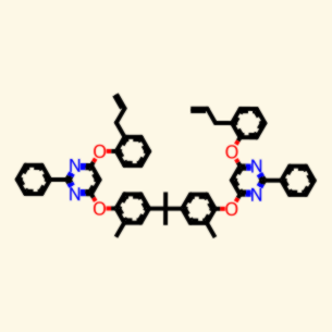 C=CCc1ccccc1Oc1cc(Oc2ccc(C(C)(C)c3ccc(Oc4cc(Oc5ccccc5CC=C)nc(-c5ccccc5)n4)c(C)c3)cc2C)nc(-c2ccccc2)n1